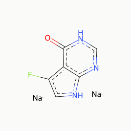 O=c1[nH]cnc2[nH]cc(F)c12.[Na].[Na]